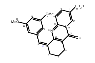 COc1cc(/C=C2/CCCc3c2nc2ccc(C(=O)O)cn2c3=O)cc(OC)c1